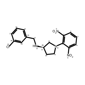 O=[N+]([O-])c1c[c]cc([N+](=O)[O-])c1N1CC[C@@H](NCc2cccc(Cl)c2)C1